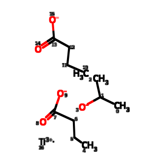 CC(C)[O-].CCCC(=O)[O-].CCCC(=O)[O-].[Ti+3]